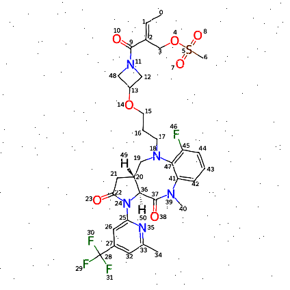 C/C=C(\COS(C)(=O)=O)C(=O)N1CC(OCCCN2C[C@H]3CC(=O)N(c4cc(C(F)(F)F)cc(C)n4)[C@@H]3C(=O)N(C)c3cccc(F)c32)C1